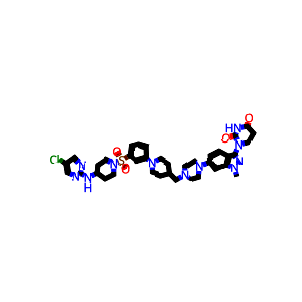 Cn1nc(N2CCC(=O)NC2=O)c2ccc(N3CCN(CC4CCN(c5cccc(S(=O)(=O)N6CCC(Nc7ncc(Cl)cn7)CC6)c5)CC4)CC3)cc21